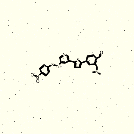 CN(C)Cc1cc(-c2ccc(-c3cncc(NSc4ccc([N+](=O)[O-])cc4)c3)s2)ccc1C=O